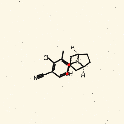 Cc1c(N2[C@@H]3CC[C@H]2CC(C)(O)C3)ccc(C#N)c1Cl